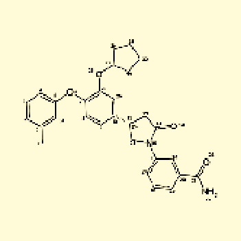 Cc1cccc(Oc2ccc([C@@H]3CC(=O)N(c4cccc(C(N)=O)c4)C3)cc2OC2CCCC2)c1